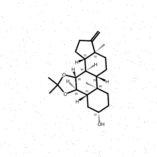 C=C1CC[C@H]2[C@@H]3[C@H]4OC(C)(C)O[C@@H]4[C@H]4C[C@@H](O)CC[C@]4(C)[C@H]3CC[C@]12C